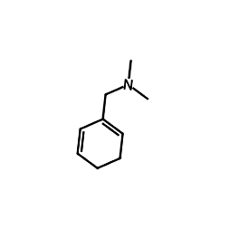 CN(C)CC1=CCCC=C1